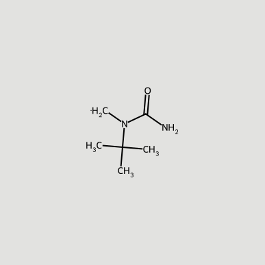 [CH2]N(C(N)=O)C(C)(C)C